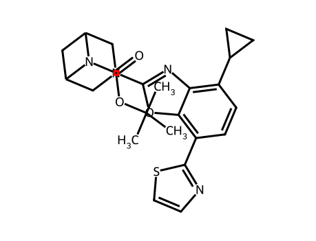 CC(C)(C)OC(=O)N1C2CC1CN(c1nc3c(C4CC4)ccc(-c4nccs4)c3o1)C2